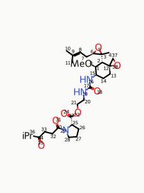 CO[C@H]1[C@H](C2(C)O[C@@H]2CC=C(C)C)[C@]2(CC[C@H]1NC(=O)NCCOC(=O)[C@@H]1CCCN1C(=O)CCC(=O)C(C)C)CO2